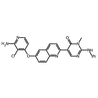 CC(C)Nc1ncc(-c2ccc3cc(Oc4ccnc(N)c4Cl)ccc3n2)c(=O)n1C